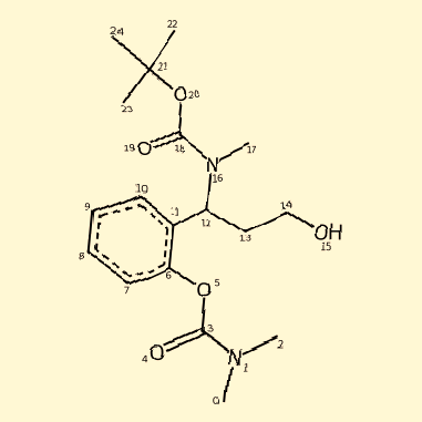 CN(C)C(=O)Oc1ccccc1C(CCO)N(C)C(=O)OC(C)(C)C